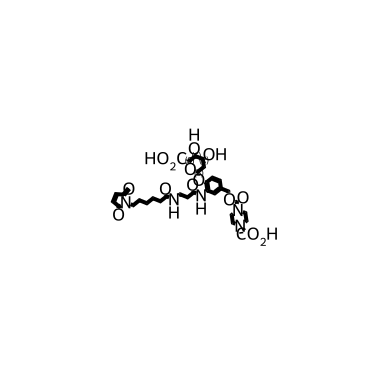 O=C(CCCCCN1C(=O)C=CC1=O)NCCC(=O)Nc1cc(COC(=O)N2CCN(C(=O)O)CC2)ccc1O[C@H]1C[C@@H](O)[C@H](O)[C@@H](C(=O)O)O1